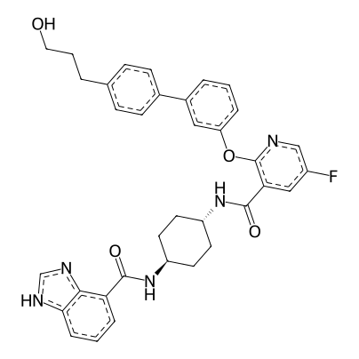 O=C(N[C@H]1CC[C@H](NC(=O)c2cccc3[nH]cnc23)CC1)c1cc(F)cnc1Oc1cccc(-c2ccc(CCCO)cc2)c1